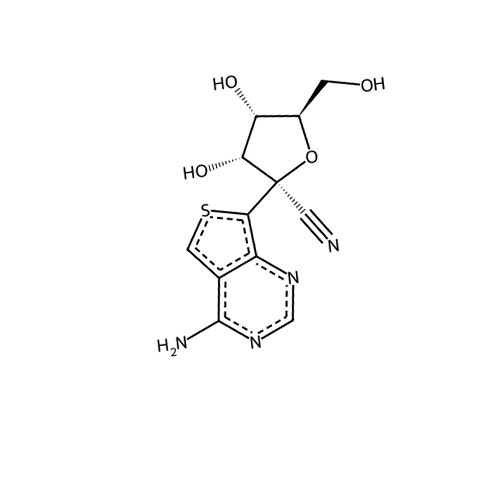 N#C[C@@]1(c2scc3c(N)ncnc23)O[C@H](CO)[C@@H](O)[C@H]1O